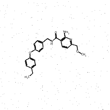 CCc1ccc(Oc2ccc(CNC(=O)c3ccc(COC)nc3N)cc2)cc1